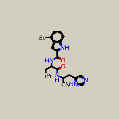 CCc1cccc2[nH]c(C(=O)NC(CC(C)C)C(=O)NC(C#N)Cc3cnc[nH]3)cc12